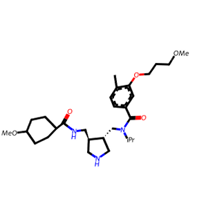 COCCCOc1cc(C(=O)N(C[C@@H]2CNC[C@H]2CNC(=O)C2CCC(OC)CC2)C(C)C)ccc1C